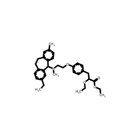 CCOC(=O)C(Cc1ccc(OCCN(C)C2c3ccc(C)cc3CCc3ccc(CC)cc32)cc1)OCC